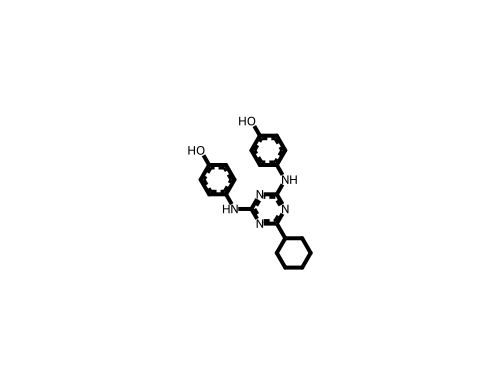 Oc1ccc(Nc2nc(Nc3ccc(O)cc3)nc(C3CCCCC3)n2)cc1